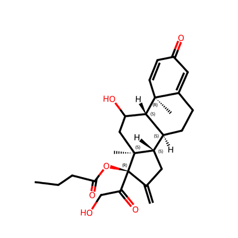 C=C1C[C@H]2[C@@H]3CCC4=CC(=O)C=C[C@]4(C)[C@H]3C(O)C[C@]2(C)[C@@]1(OC(=O)CCC)C(=O)CO